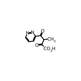 CC(C(=O)C(=O)O)C(=O)c1cccnn1